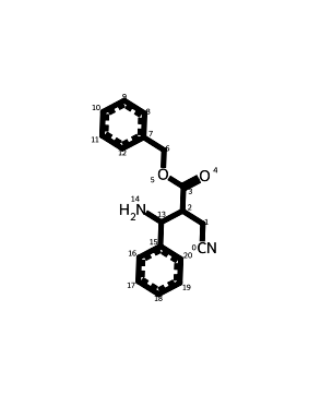 N#CCC(C(=O)OCc1ccccc1)C(N)c1ccccc1